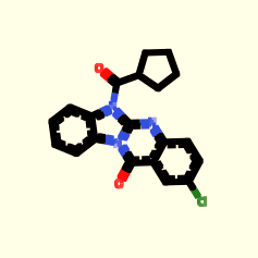 O=C(C1CCCC1)n1c2ccccc2n2c(=O)c3cc(Cl)ccc3nc12